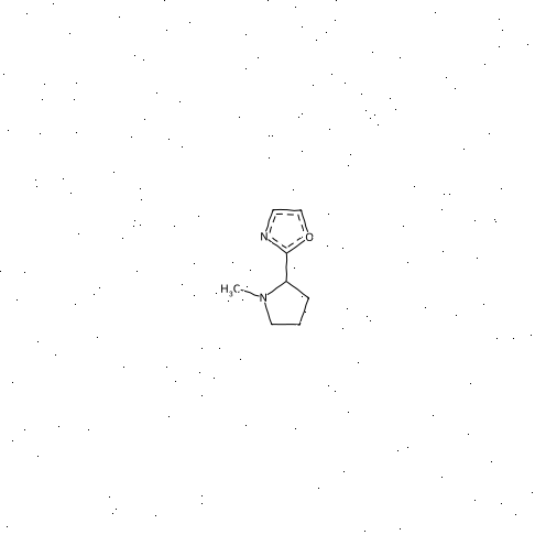 CN1CCCC1c1ncco1